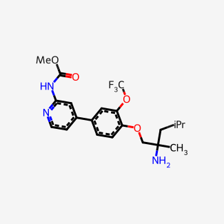 COC(=O)Nc1cc(-c2ccc(OCC(C)(N)CC(C)C)c(OC(F)(F)F)c2)ccn1